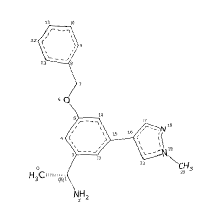 C[C@@H](N)c1cc(OCc2ccccc2)cc(-c2cnn(C)c2)c1